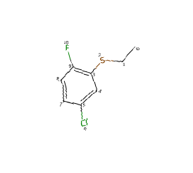 CCSc1cc(Cl)ccc1F